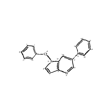 c1ccc(On2ccc3ncc(-c4ccccc4)cc32)cc1